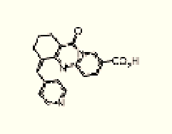 O=C(O)c1ccc2nc3c(c(=O)n2c1)CCC/C3=C/c1ccncc1